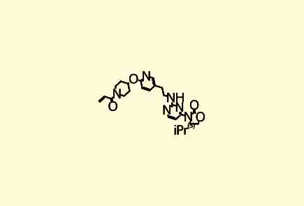 C=CC(=O)N1CCC(Oc2ccc(CCNc3nccc(N4C(=O)OC[C@@H]4C(C)C)n3)cn2)CC1